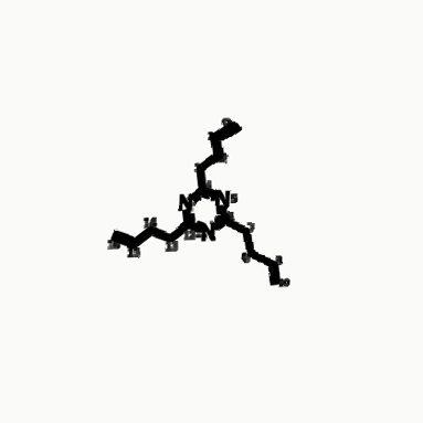 C=CCCc1nc(CCC=C)nc(CCC=C)n1